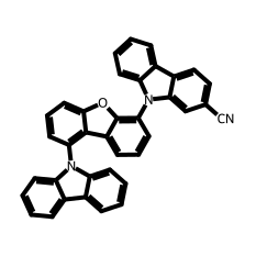 N#Cc1ccc2c3ccccc3n(-c3cccc4c3oc3cccc(-n5c6ccccc6c6ccccc65)c34)c2c1